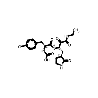 CCNC(=O)C(=O)[C@H](C[C@@H]1CCNC1=O)NC(=O)[C@H](Cc1ccc(Cl)cc1)NC(=O)O